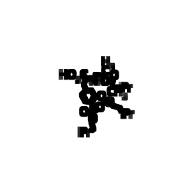 CC(C)CCOC(=O)Oc1ccc(C[C@H](NCC(C)OC(=O)C(C)C(C)C)C(=O)O)cc1OC(=O)OCCC(C)C